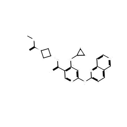 COC(=O)[C@H]1C[C@H](NC(=O)c2cnc(Nc3ccc4cnccc4n3)cc2NC2CC2)C1